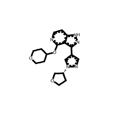 c1cc2[nH]nc(-c3cnn([C@@H]4CCOC4)c3)c2c(OC2CCOCC2)n1